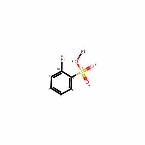 CCOS(=O)(=O)c1ccccc1CC